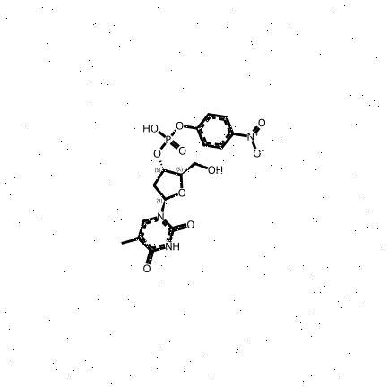 Cc1cn([C@H]2C[C@H](OP(=O)(O)Oc3ccc([N+](=O)[O-])cc3)[C@@H](CO)O2)c(=O)[nH]c1=O